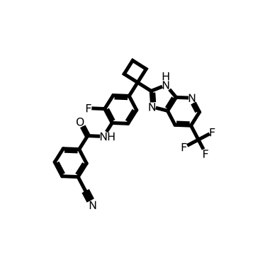 N#Cc1cccc(C(=O)Nc2ccc(C3(c4nc5cc(C(F)(F)F)cnc5[nH]4)CCC3)cc2F)c1